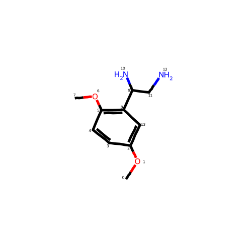 COc1ccc(OC)c(C(N)CN)c1